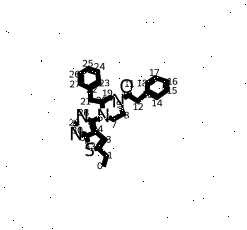 CCc1cc2c(N3CCN(C(=O)Cc4ccccc4)CC3Cc3ccccc3)ncnc2s1